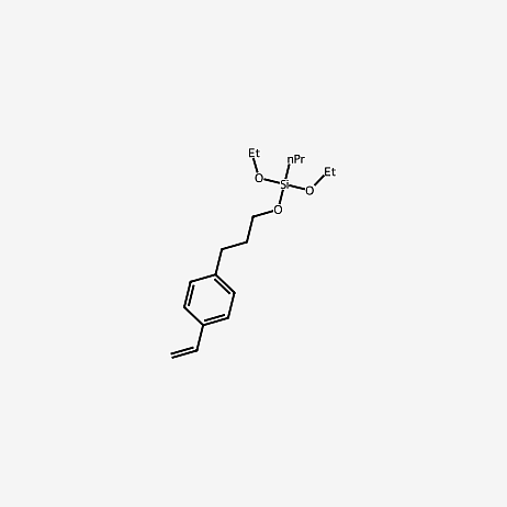 C=Cc1ccc(CCCO[Si](CCC)(OCC)OCC)cc1